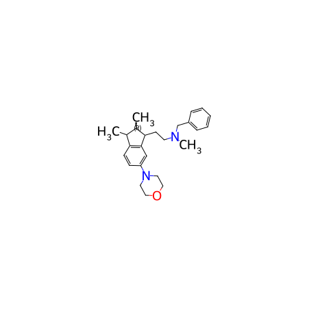 CC1c2ccc(N3CCOCC3)cc2C(CCN(C)Cc2ccccc2)[C@@H]1C